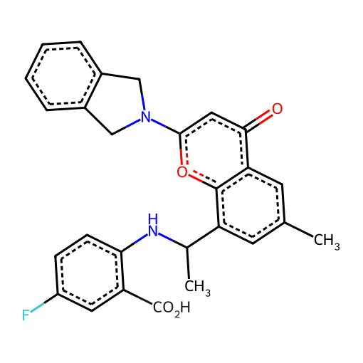 Cc1cc(C(C)Nc2ccc(F)cc2C(=O)O)c2oc(N3Cc4ccccc4C3)cc(=O)c2c1